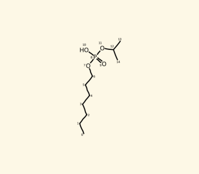 CCCCCCCOP(=O)(O)OC(C)C